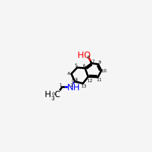 CCN[C@H]1CCc2c(O)cccc2C1